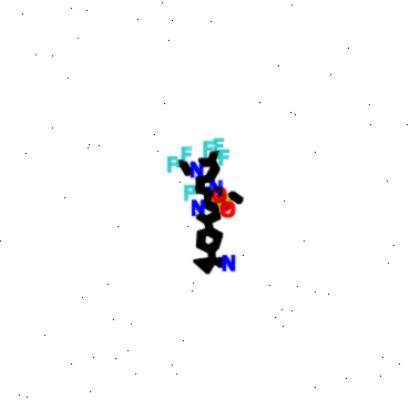 CCS(=O)(=O)c1cc(-c2ccc(C3(C#N)CC3)cc2)cnc1-c1nc2cc(C(F)(F)F)cn(CC(F)F)c-2c1F